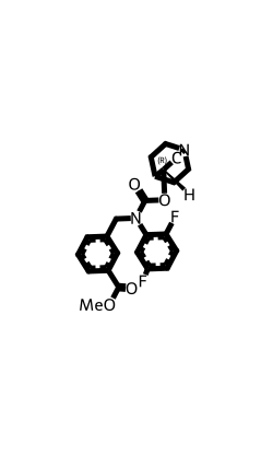 COC(=O)c1cccc(CN(C(=O)O[C@H]2CN3CCC2CC3)c2cc(F)ccc2F)c1